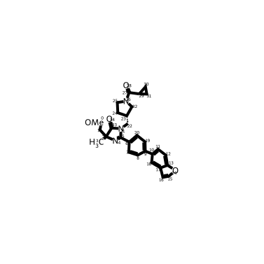 COCC1(C)N=C(c2ccc(-c3ccc4occc4c3)cc2)N(C[C@@H]2CCN(C(=O)C3CC3)C2)C1=O